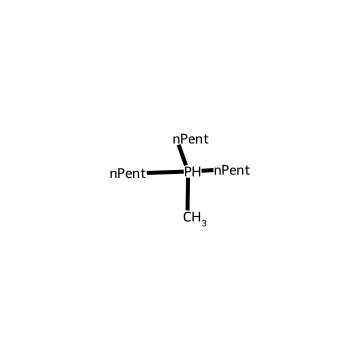 CCCCC[PH](C)(CCCCC)CCCCC